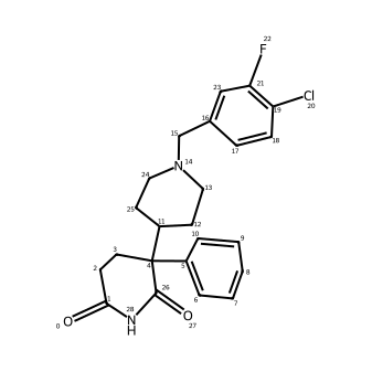 O=C1CCC(c2ccccc2)(C2CCN(Cc3ccc(Cl)c(F)c3)CC2)C(=O)N1